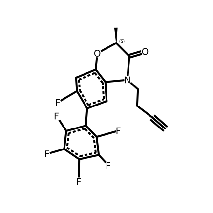 C#CCCN1C(=O)[C@H](C)Oc2cc(F)c(-c3c(F)c(F)c(F)c(F)c3F)cc21